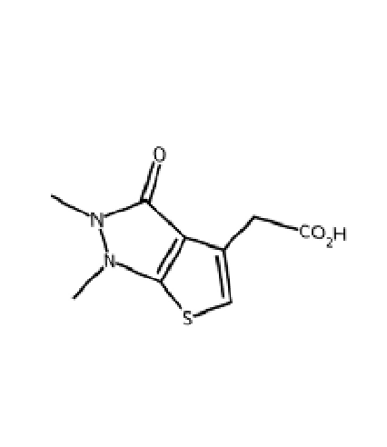 Cn1c(=O)c2c(CC(=O)O)csc2n1C